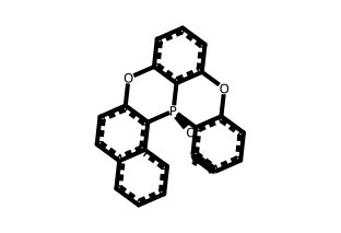 O=P12c3c(cccc3Oc3ccc4ccccc4c31)Oc1ccc3ccccc3c12